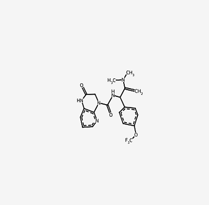 C=C(C(NC(=O)N1CC(=O)Nc2cccnc21)c1ccc(OC(F)(F)F)cc1)N(C)C